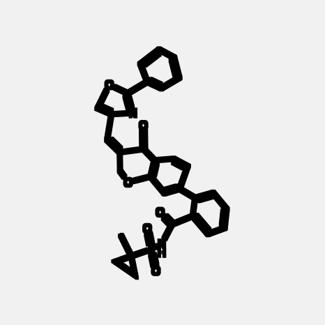 CC1(S(=O)(=O)NC(=O)c2ccccc2-c2ccc3c(c2)OCC(=Cc2coc(-c4ccccc4)n2)C3=O)CC1